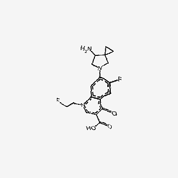 NC1CN(c2cc3c(cc2F)c(=O)c(C(=O)O)cn3CCF)CC12CC2